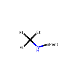 CCCCCNC(CC)(CC)CC